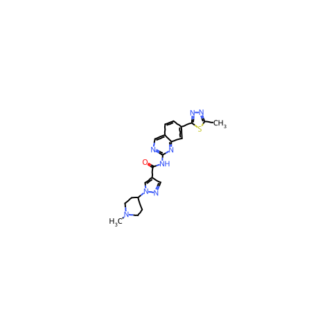 Cc1nnc(-c2ccc3cnc(NC(=O)c4cnn(C5CCN(C)CC5)c4)nc3c2)s1